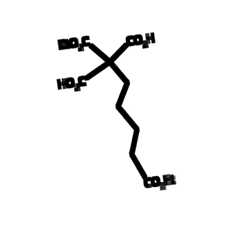 CCOC(=O)CCCCC(C(=O)O)(C(=O)O)C(=O)OCC